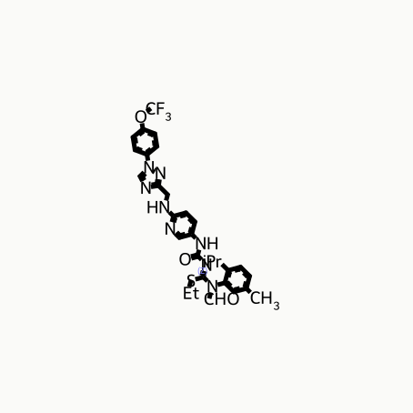 CCS/C(=N\C(=O)Nc1ccc(NCc2ncn(-c3ccc(OC(F)(F)F)cc3)n2)nc1)N(C=O)c1cc(C)ccc1C(C)C